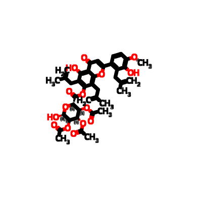 C=C(C)Cc1c(-c2cc(=O)c3c(O)c(CC(=C)C)c(OC(=O)[C@H]4O[C@@H](O)[C@H](OC(C)=O)[C@@H](OC(C)=O)[C@@H]4OC(C)=O)c(CC(=C)C)c3o2)ccc(OC)c1O